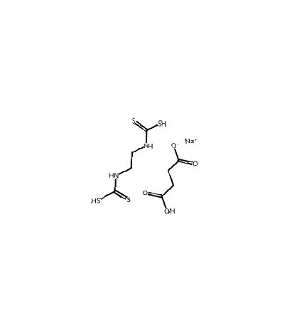 O=C([O-])CCC(=O)O.S=C(S)NCCNC(=S)S.[Na+]